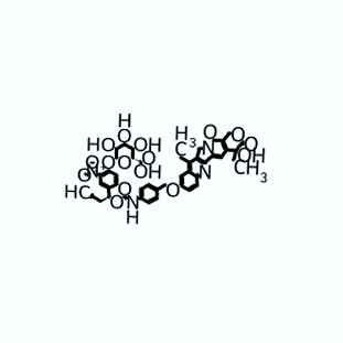 C#CC[C@H](OC(=O)Nc1ccc(COc2ccc3nc4c(c(CC)c3c2)Cn2c-4cc3c(c2=O)COC(=O)[C@]3(O)CC)cc1)c1ccc(O[C@H]2O[C@@H](C(=O)O)[C@H](O)[C@@H](O)[C@@H]2O)c([N+](=O)[O-])c1